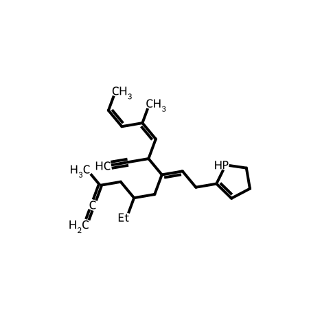 C#CC(/C=C(C)\C=C/C)/C(=C/CC1=CCCP1)CC(CC)CC(C)=C=C